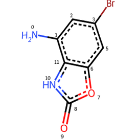 Nc1cc(Br)cc2oc(=O)[nH]c12